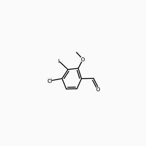 COc1c(C=O)ccc(Cl)c1I